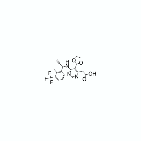 C#CC(Nc1ncnc(CC(=O)O)c1C1OCCO1)c1cccc(C(F)(F)F)c1C